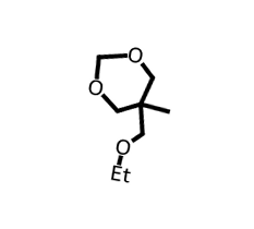 CCOCC1(C)COCOC1